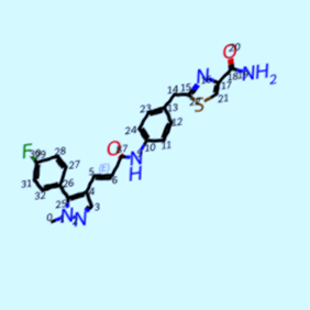 Cn1ncc(/C=C/C(=O)Nc2ccc(Cc3nc(C(N)=O)cs3)cc2)c1-c1ccc(F)cc1